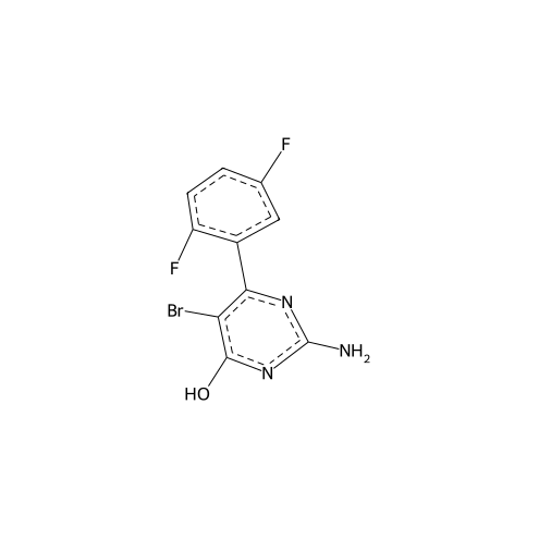 Nc1nc(O)c(Br)c(-c2cc(F)ccc2F)n1